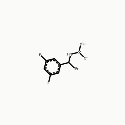 CC(C)C(N[S+]([O-])C(C)(C)C)c1cc(F)cc(F)c1